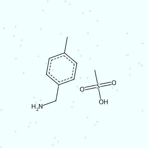 CS(=O)(=O)O.Cc1ccc(CN)cc1